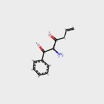 C=CCC(=O)C(N)C(=O)c1ccccc1